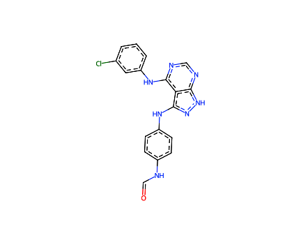 O=CNc1ccc(Nc2n[nH]c3ncnc(Nc4cccc(Cl)c4)c23)cc1